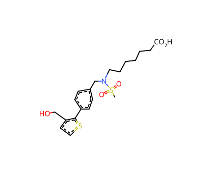 CS(=O)(=O)N(CCCCCCC(=O)O)Cc1ccc(-c2sccc2CO)cc1